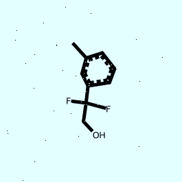 Cc1cccc(C(F)(F)CO)c1